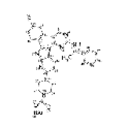 C[C@H](Nc1nccc(-n2c(-c3ccc(F)cc3)nc3nc(N4CCN(C(=O)OC(C)(C)C)CC4)ccc32)n1)c1ccccc1